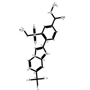 CCS(=O)(=O)c1cc(C(O)OC)ccc1-c1cn2cnc(C(F)(F)F)cc2n1